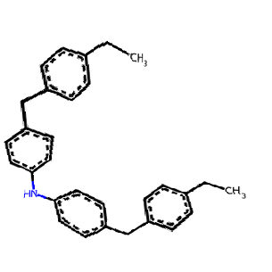 CCc1ccc(Cc2ccc(Nc3ccc(Cc4ccc(CC)cc4)cc3)cc2)cc1